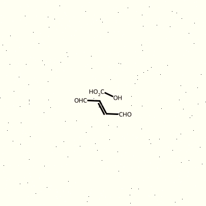 O=C(O)O.O=CC=CC=O